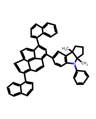 CC12CCCC1(C)N(c1ccccc1)c1ccc(-c3cc(-c4cccc5ccccc45)c4ccc5ccc(-c6cccc7ccccc67)c6ccc3c4c56)cc12